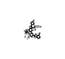 CNC(=O)c1c(-c2ccc(C)cc2)oc2cc(N(C)S(C)(=O)=O)c(-c3cc(-c4nc5c(F)cccc5o4)cc(C(F)(F)F)n3)cc12